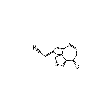 N#CC=C1CC=C2N=CCC(=O)C3=CSCC23C1